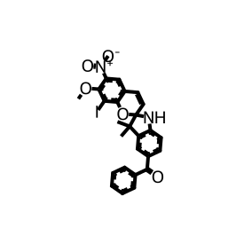 COc1c([N+](=O)[O-])cc2c(c1I)OC1(C=C2)Nc2ccc(C(=O)c3ccccc3)cc2C1(C)C